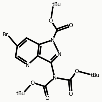 CC(C)(C)OC(=O)N(C(=O)OC(C)(C)C)c1nn(C(=O)OC(C)(C)C)c2cc(Br)cnc12